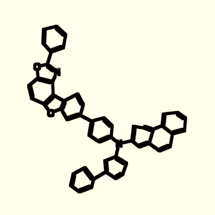 c1ccc(-c2cccc(N(c3ccc(-c4ccc5c(c4)oc4ccc6oc(-c7ccccc7)nc6c45)cc3)c3ccc4c(ccc5ccccc54)c3)c2)cc1